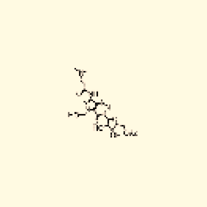 CC(=O)OCC1OC(n2nnc3c(NC(=O)CCN(C)C)nn(CO)c3c2=O)C(O)C1O